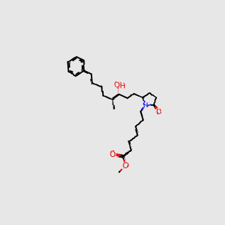 COC(=O)CCCCCCN1C(=O)CCC1CC[C@@H](O)[C@@H](C)CCCCc1ccccc1